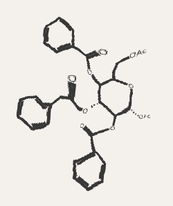 CC(=O)OCC1O[C@H](OC(C)=O)C(OC(=O)c2ccccc2)[C@H](OC(=O)c2ccccc2)C1OC(=O)c1ccccc1